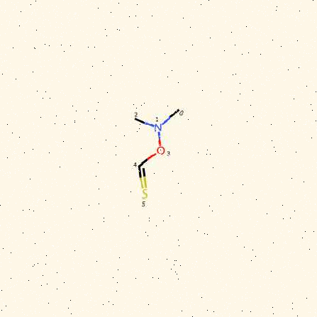 CN(C)OC=S